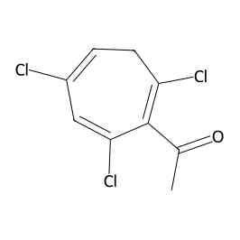 CC(=O)C1=C(Cl)CC=C(Cl)C=C1Cl